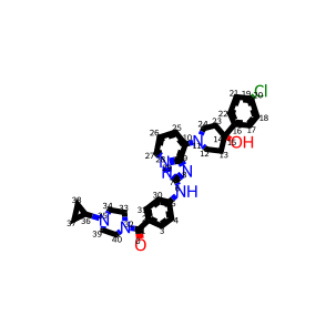 O=C(c1ccc(Nc2nc3c(N4CCC(O)(c5ccc(Cl)cc5)CC4)cccn3n2)cc1)N1CCN(C2CC2)CC1